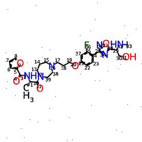 C[C@H](NC(=O)c1ccco1)C(=O)N1CCCN(CCCOc2ccc(-c3noc([C@H](CO)NI)n3)c(F)c2)CC1